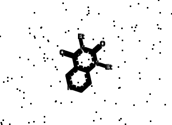 CCn1c(=O)c2cnccc2n(CC)c1=O